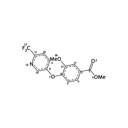 COC(=O)c1ccc(Oc2ccc(C(F)(F)F)nc2)c(OC)c1